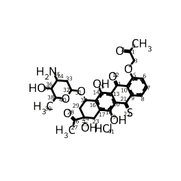 CC(=O)COc1cccc2c1C(=O)c1c(O)c3c(c(O)c1C2=S)C[C@@](O)(C(C)=O)C[C@@H]3OC1CC(N)C(O)C(C)O1.Cl